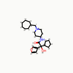 O=C(NC1CCN(CC2CCCCCC2)CC1)C(O)(c1ccoc1)C1CCCC1